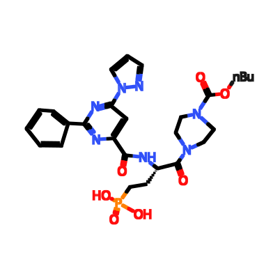 CCCCOC(=O)N1CCN(C(=O)[C@H](CCP(=O)(O)O)NC(=O)c2cc(-n3cccn3)nc(-c3ccccc3)n2)CC1